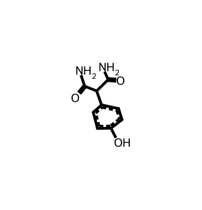 NC(=O)C(C(N)=O)c1ccc(O)cc1